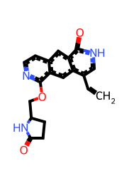 C=Cc1c[nH]c(=O)c2cc3ccnc(OCC4CCC(=O)N4)c3cc12